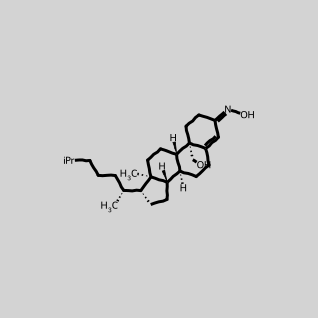 CC(C)CCC[C@@H](C)[C@H]1CC[C@H]2[C@@H]3CCC4=CC(=NO)CC[C@]4(CO)[C@H]3CC[C@]12C